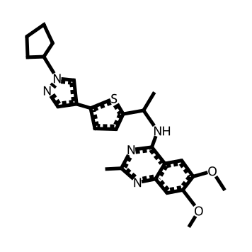 COc1cc2nc(C)nc(NC(C)c3ccc(-c4cnn(C5CCCC5)c4)s3)c2cc1OC